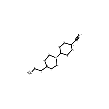 CCCC1CCN(C2CCC(C#N)CC2)CC1